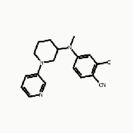 CN(c1ccc(C#N)c(Cl)c1)C1CCCN(c2cccnc2)C1